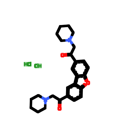 Cl.Cl.O=C(CN1CCCCC1)c1ccc2oc3ccc(C(=O)CN4CCCCC4)cc3c2c1